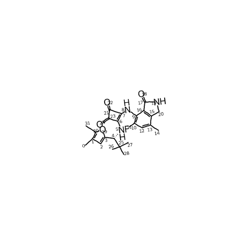 Cc1cc([C@H](Nc2c(Nc3c(F)cc(C)c4c3C(=O)NC4)c(=O)c2=O)C(C)(C)C)oc1C